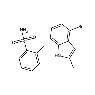 Cc1cc2c(Br)cccc2[nH]1.Cc1ccccc1S(N)(=O)=O